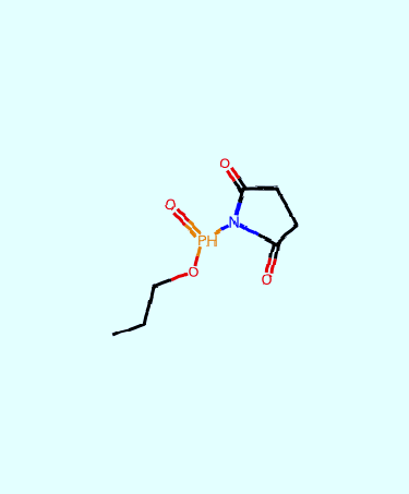 CCCO[PH](=O)N1C(=O)CCC1=O